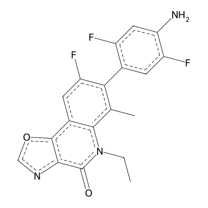 CCn1c(=O)c2ncoc2c2cc(F)c(-c3cc(F)c(N)cc3F)c(C)c21